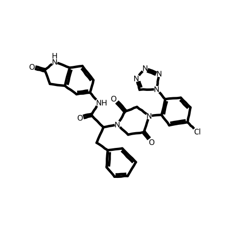 O=C1Cc2cc(NC(=O)C(Cc3ccccc3)N3CC(=O)N(c4cc(Cl)ccc4-n4cnnn4)CC3=O)ccc2N1